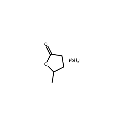 CC1CCC(=O)O1.[PbH2]